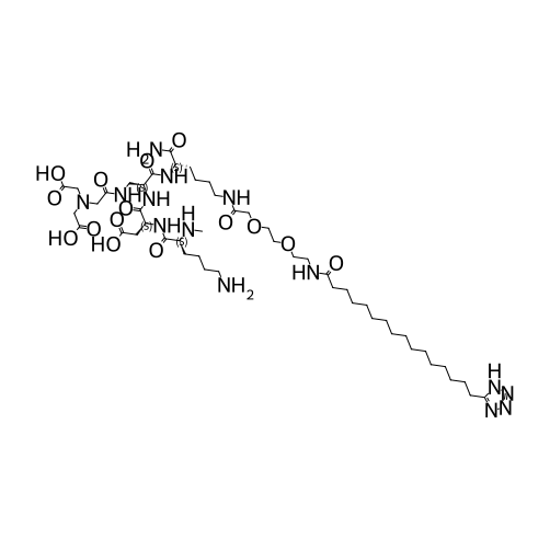 CN[C@@H](CCCCN)C(=O)N[C@@H](CC(=O)O)C(=O)N[C@@H](CNC(=O)CN(CC(=O)O)CC(=O)O)C(=O)N[C@@H](CCCCNC(=O)COCCOCCNC(=O)CCCCCCCCCCCCCCCc1nnn[nH]1)C(N)=O